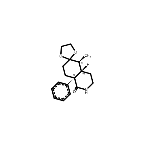 C[C@H]1[C@@H]2CCNC(=O)[C@@]2(c2ccccc2)CCC12OCCO2